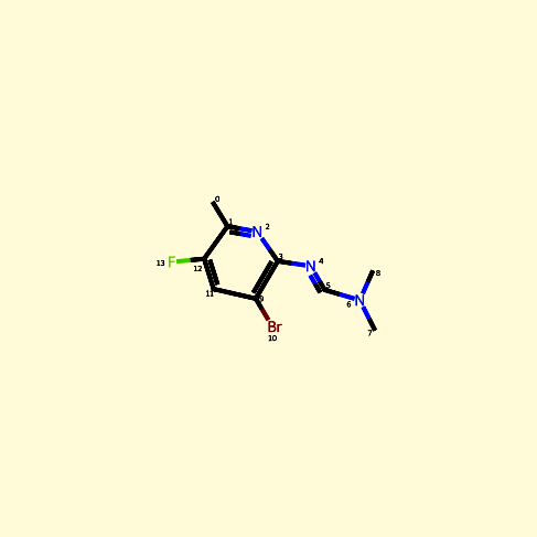 Cc1nc(/N=C/N(C)C)c(Br)cc1F